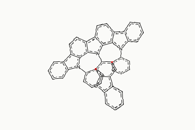 c1ccc(-n2c3ccccc3c3ccc4c5ccc6c7ccccc7n(-c7ccccc7)c6c5n(-c5ccc6c(c5)oc5ccccc56)c4c32)cc1